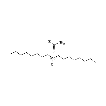 CCCCCCC[CH2][Mo+](=[O])[CH2]CCCCCCC.NC(=S)[S-]